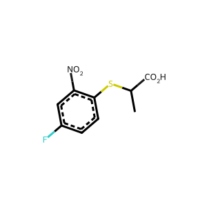 CC(Sc1ccc(F)cc1[N+](=O)[O-])C(=O)O